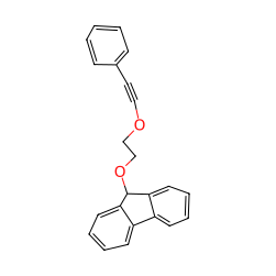 C(#Cc1ccccc1)OCCOC1c2ccccc2-c2ccccc21